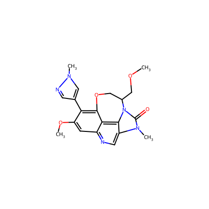 COCC1COc2c(-c3cnn(C)c3)c(OC)cc3ncc4c(c23)n1c(=O)n4C